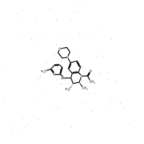 CC(=O)N1c2ccc(N3CCOCC3)cc2C(Nc2cccc(C)n2)[C@@H](C)[C@@H]1C